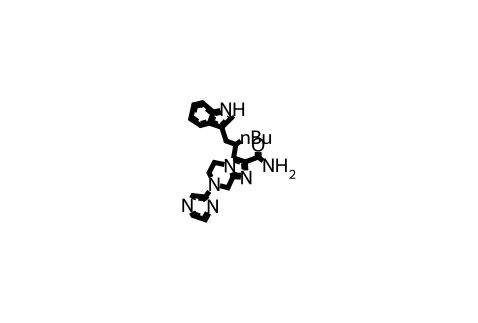 CCCCC(Cc1c[nH]c2ccccc12)c1c(C(N)=O)nc2n1CCN(c1cnccn1)C2